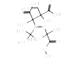 CCC(C)(C(=O)O)C(C)(C(=O)O)N(OC(C)(C)C(=O)OC)C(C)(C)C